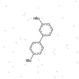 CCCCc1cc[c]c(-c2ccc(C(C)(C)C)cc2)c1